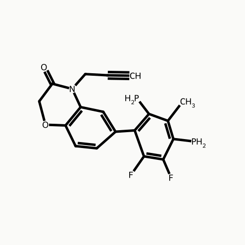 C#CCN1C(=O)COc2ccc(-c3c(F)c(F)c(P)c(C)c3P)cc21